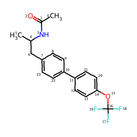 CC(=O)NC(C)Cc1ccc(-c2ccc(OC(F)(F)F)cc2)cc1